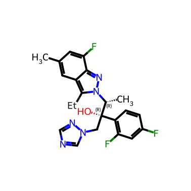 CCc1c2cc(C)cc(F)c2nn1[C@H](C)[C@](O)(Cn1cncn1)c1ccc(F)cc1F